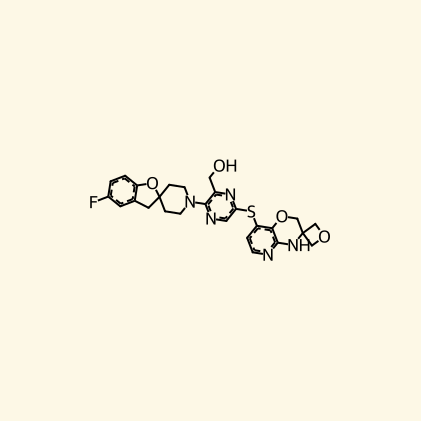 OCc1nc(Sc2ccnc3c2OCC2(COC2)N3)cnc1N1CCC2(CC1)Cc1cc(F)ccc1O2